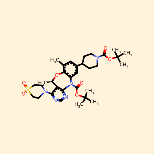 Cc1cc(C2CCN(C(=O)OC(C)(C)C)CC2)cc2c1O[C@H](C)c1c(N3CCS(=O)(=O)CC3)ncnc1N2C(=O)OC(C)(C)C